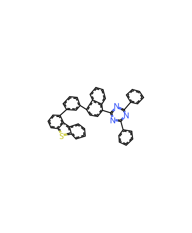 c1ccc(-c2nc(-c3ccccc3)nc(-c3ccc(-c4cccc(-c5cccc6sc7ccccc7c56)c4)c4ccccc34)n2)cc1